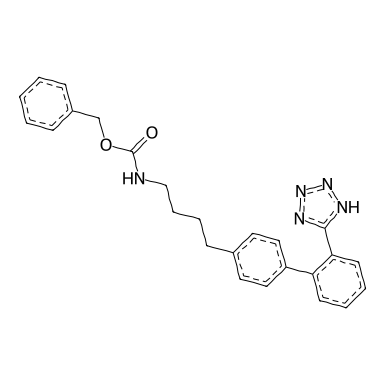 O=C(NCCCCc1ccc(-c2ccccc2-c2nnn[nH]2)cc1)OCc1ccccc1